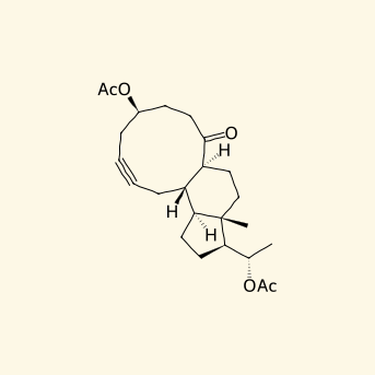 CC(=O)O[C@@H]1CC#CC[C@@H]2[C@H](CC[C@]3(C)[C@@H]([C@H](C)OC(C)=O)CC[C@@H]23)C(=O)CC1